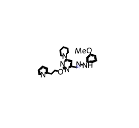 COc1cccc(N/N=C/c2cc(N3CCCCC3)nc(OCCc3ccccn3)n2)c1